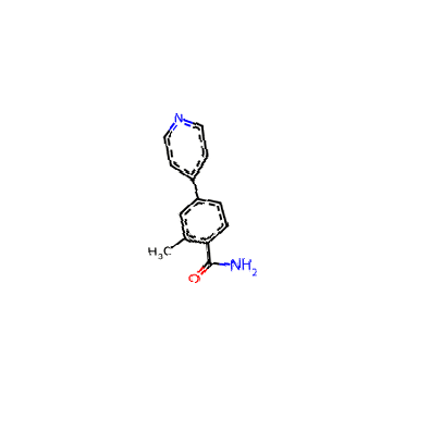 Cc1cc(-c2ccncc2)ccc1C(N)=O